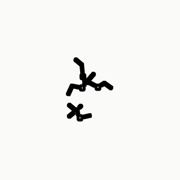 CCO[Si](C)(OCC)OCC.CO[Si](C)(C)C